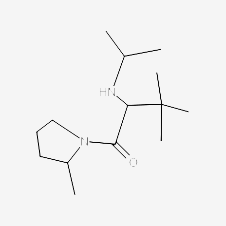 CC(C)NC(C(=O)N1CCCC1C)C(C)(C)C